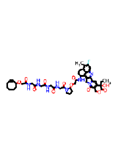 CC[C@@]1(O)C(=O)OCc2c1cc1n(c2=O)Cc2c-1nc1cc(F)c(C)c3c1c2[C@@H](NC(=O)COC1CCCN1C(=O)CNC(=O)CNC(=O)CNC(=O)CNC(=O)COC1C#CCCCCC1)CC3